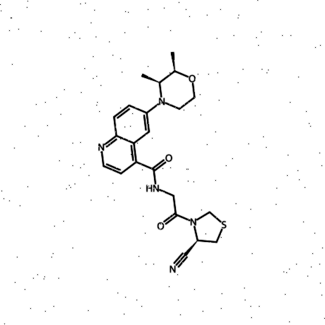 C[C@H]1OCCN(c2ccc3nccc(C(=O)NCC(=O)N4CSC[C@H]4C#N)c3c2)[C@H]1C